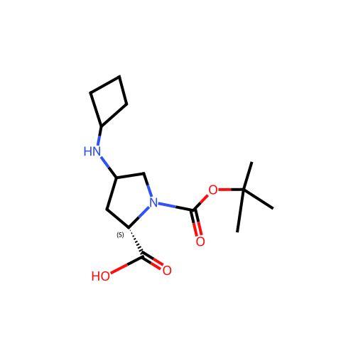 CC(C)(C)OC(=O)N1CC(NC2CCC2)C[C@H]1C(=O)O